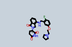 O=C1CC[C@@H](N2Cc3c(NCc4cc(OCCN5CCCC5)ccc4F)cccc3C2=O)C(=O)N1